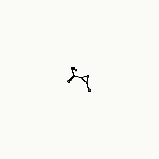 CCN1CC1C(N)=O